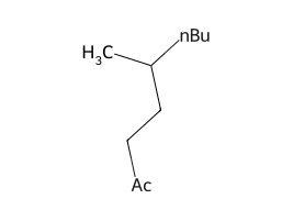 CCCCC(C)CCC(C)=O